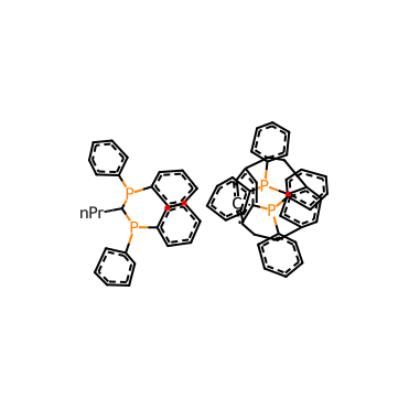 [CH2]CCC(P(c1ccccc1)c1ccccc1)P(c1ccccc1)c1ccccc1.c1ccc(P(c2ccccc2)c2cc3ccc2CCc2ccc(c(P(c4ccccc4)c4ccccc4)c2)CC3)cc1